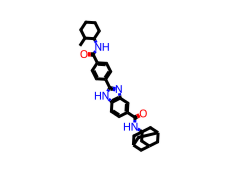 CC1CCCCC1NC(=O)c1ccc(-c2nc3cc(C(=O)NC45CC6CC(CC(C6)C4)C5)ccc3[nH]2)cc1